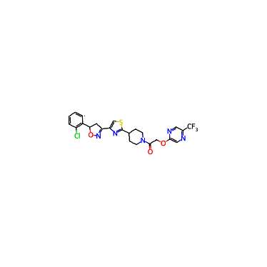 O=C(COc1cnc(C(F)(F)F)cn1)N1CCC(c2nc(C3=NOC(c4[c]cccc4Cl)C3)cs2)CC1